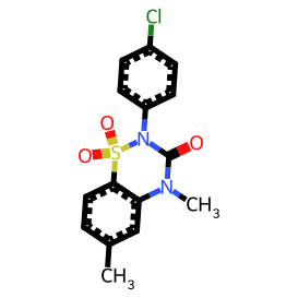 Cc1ccc2c(c1)N(C)C(=O)N(c1ccc(Cl)cc1)S2(=O)=O